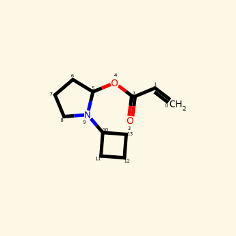 C=CC(=O)OC1CCCN1C1CCC1